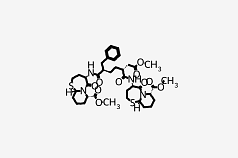 COC(=O)C[C@@H](CC[C@H](Cc1ccccc1)C(=O)N[C@H]1CCS[C@H]2CCC[C@@H](C(=O)OC)N2C1=O)C(=O)N[C@H]1CCS[C@H]2CCC[C@@H](C(=O)OC)N2C1=O